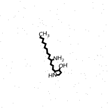 CCCCCCCCCCC(N)CCCC1NCCC1O